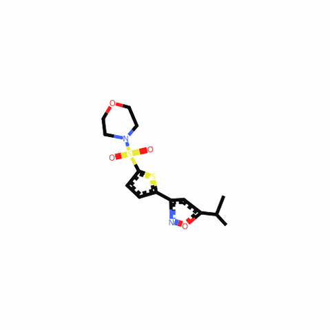 CC(C)c1cc(-c2ccc(S(=O)(=O)N3CCOCC3)s2)no1